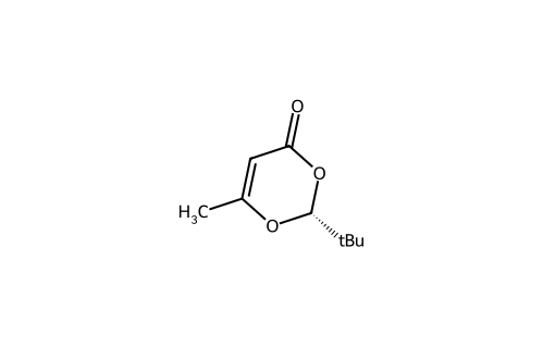 CC1=CC(=O)O[C@H](C(C)(C)C)O1